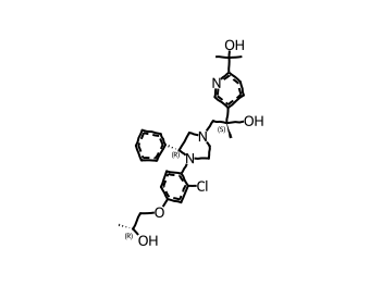 C[C@@H](O)COc1ccc(N2CCN(C[C@@](C)(O)c3ccc(C(C)(C)O)nc3)C[C@H]2c2ccccc2)c(Cl)c1